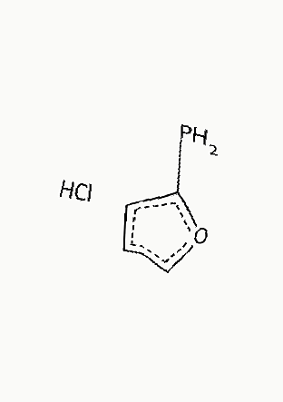 Cl.Pc1ccco1